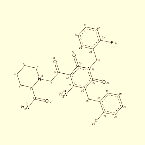 NC(=O)C1CCCCN1CC(=O)c1c(N)n(Cc2ccccc2F)c(=O)n(Cc2ccccc2F)c1=O